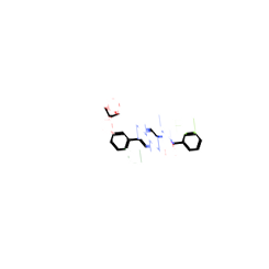 O=C(Nc1cnc(-c2cc(OC3COC3)ccc2Cl)cn1)c1cccc(F)c1F